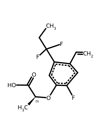 C=Cc1cc(F)c(O[C@@H](C)C(=O)O)cc1C(F)(F)CC